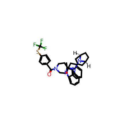 Cc1nc2ccccc2n1C1C[C@H]2CC[C@@H](C1)N2CCC1(c2ccccc2)CCN(C(=O)c2ccc(SC(F)(F)F)cc2)CC1